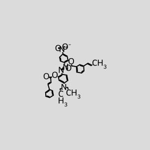 C/C=C/c1cccc(C(=O)Oc2cc([N+](=O)[O-])ccc2N=Nc2ccc(N(CC)CC)cc2OC(=O)/C=C/c2ccccc2)c1